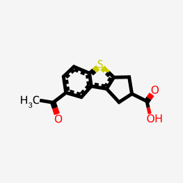 CC(=O)c1ccc2sc3c(c2c1)CC(C(=O)O)C3